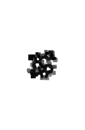 COc1cc2[nH]nc(-c3cnn(C)c3)c2nc1C1(C#N)CCc2ccccc21